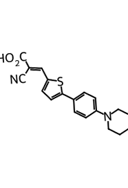 N#C/C(=C\c1ccc(-c2ccc(N3CCCCC3)cc2)s1)C(=O)O